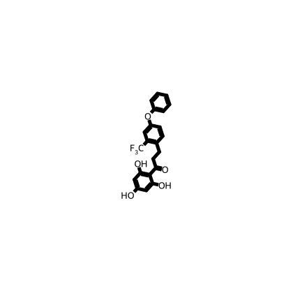 O=C(CCc1ccc(Oc2ccccc2)cc1C(F)(F)F)c1c(O)cc(O)cc1O